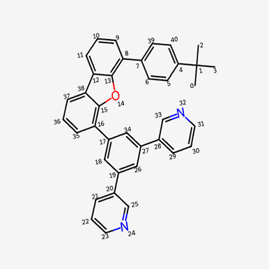 CC(C)(C)c1ccc(-c2cccc3c2oc2c(-c4cc(-c5cccnc5)cc(-c5cccnc5)c4)cccc23)cc1